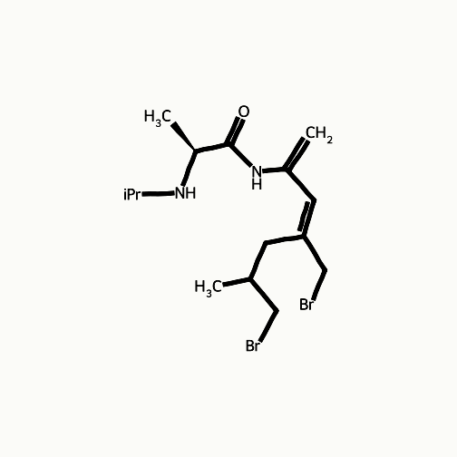 C=C(/C=C(/CBr)CC(C)CBr)NC(=O)[C@H](C)NC(C)C